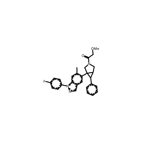 COCC(=O)N1CC2C(c3ccccc3)C2(c2cc3cnn(-c4ccc(F)cc4)c3cc2C)C1